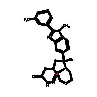 CCC(CC1C=NNC(=O)S1)(c1ccc2c(c1)nc(-c1cccc(C(F)(F)F)c1)n2C)N1CCOCC1